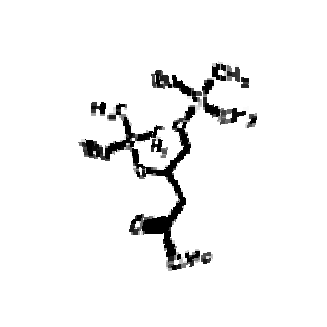 COC(=O)CC(CO[Si](C)(C)C(C)(C)C)O[Si](C)(C)C(C)(C)C